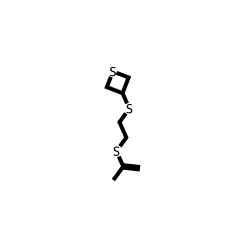 C=C(C)SCCSC1CSC1